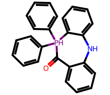 O=C1c2ccccc2Nc2ccccc2[PH]1(c1ccccc1)c1ccccc1